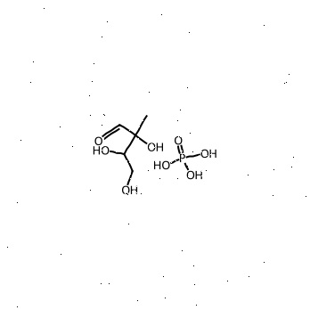 CC(O)(C=O)C(O)CO.O=P(O)(O)O